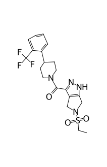 CCS(=O)(=O)N1Cc2[nH]nc(C(=O)N3CCC(c4ccccc4C(F)(F)F)CC3)c2C1